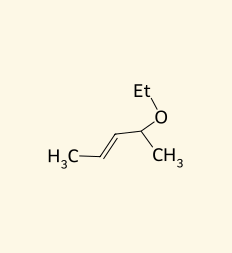 [CH2]COC(C)C=CC